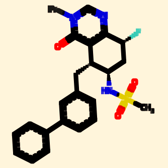 CC(C)n1cnc2c(c1=O)[C@@H](Cc1cccc(-c3ccccc3)c1)[C@@H](NS(C)(=O)=O)C[C@H]2F